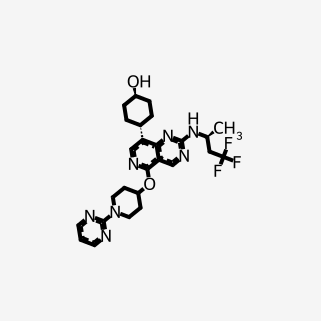 C[C@@H](CC(F)(F)F)Nc1ncc2c(OC3CCN(c4ncccn4)CC3)ncc([C@H]3CC[C@H](O)CC3)c2n1